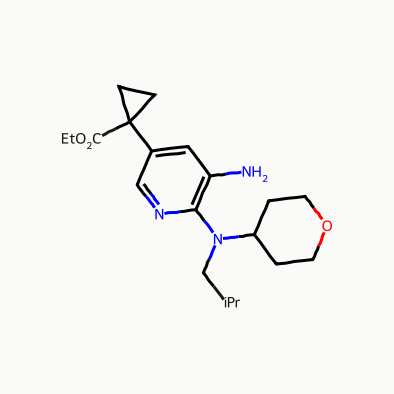 CCOC(=O)C1(c2cnc(N(CC(C)C)C3CCOCC3)c(N)c2)CC1